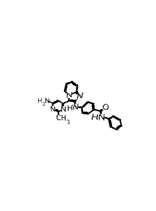 Cc1nc(N)cc(-c2c(Nc3ccc(C(=O)Nc4ccccc4)cc3)nc3ccccn23)n1